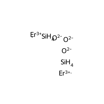 [Er+3].[Er+3].[O-2].[O-2].[O-2].[SiH4].[SiH4]